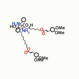 COc1ccc(C=CC(=O)OCCCCCCCCc2ccccc2C(N)(CCCCCCCCOC(=O)C=Cc2ccc(OC)c(OC)c2)C(C(=O)O)(C(=O)O)C(N)c2ccccc2)cc1OC